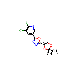 CC1(C)OC[C@H](c2nnc(-c3cnc(Cl)c(Cl)c3)o2)O1